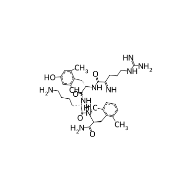 Cc1cccc(C)c1C[C@H](NC(=O)[C@H](CCCCN)NC(=O)[C@H](Cc1c(C)cc(O)cc1C)NC(=O)C(=N)CCCNC(=N)N)C(N)=O